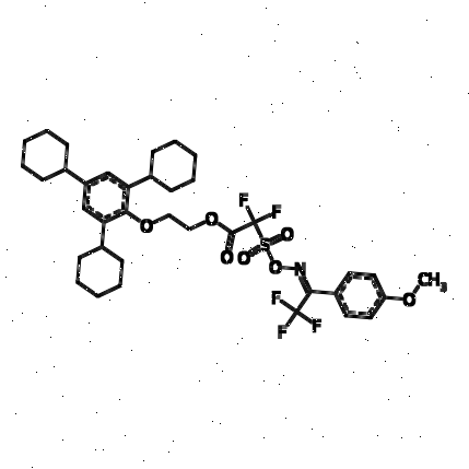 COc1ccc(/C(=N/OS(=O)(=O)C(F)(F)C(=O)OCCOc2c(C3CCCCC3)cc(C3CCCCC3)cc2C2CCCCC2)C(F)(F)F)cc1